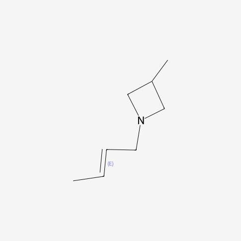 C/C=C/CN1CC(C)C1